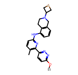 CCOc1ccc(-c2nc(Nc3cccc4c3CCN(C3CSC3)C4)ccc2C)nn1